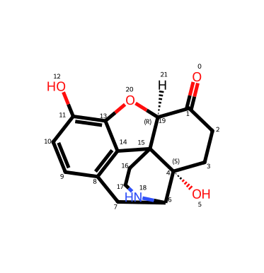 O=C1CC[C@@]2(O)C3Cc4ccc(O)c5c4C2(CCN3)[C@H]1O5